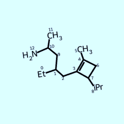 CCC(CC1=C(C)CC1C(C)C)CC(C)N